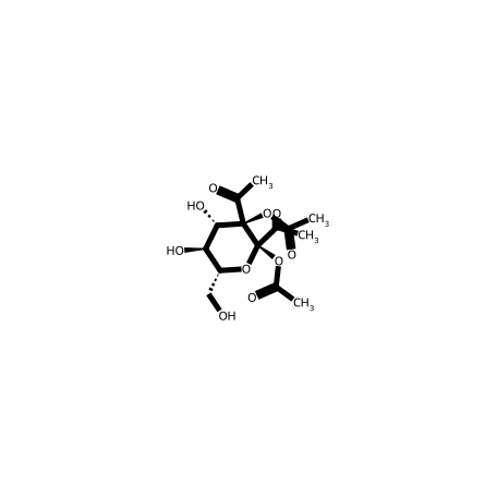 CC(=O)O[C@@]1(C(C)=O)O[C@H](CO)[C@@H](O)[C@H](O)[C@]1(OC(C)=O)C(C)=O